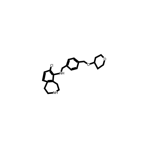 Clc1ccc2c(c1NCc1ccc(COC3CCOCC3)cc1)CCNCC2